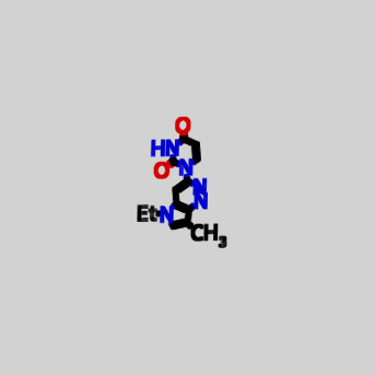 CCn1cc(C)c2nnc(-n3ccc(=O)[nH]c3=O)cc21